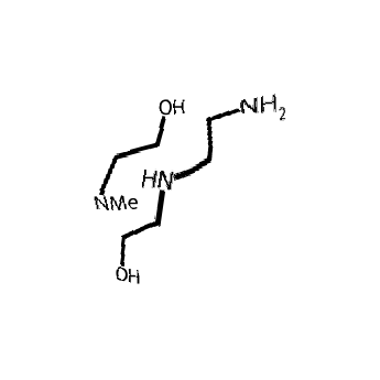 CNCCO.NCCNCCO